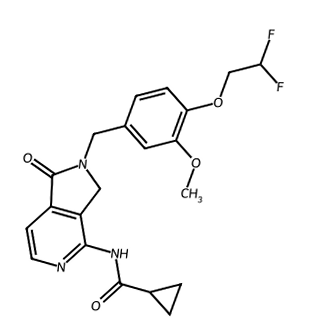 COc1cc(CN2Cc3c(ccnc3NC(=O)C3CC3)C2=O)ccc1OCC(F)F